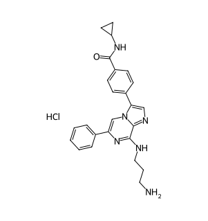 Cl.NCCCNc1nc(-c2ccccc2)cn2c(-c3ccc(C(=O)NC4CC4)cc3)cnc12